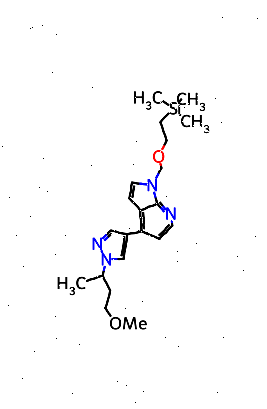 COCCC(C)n1cc(-c2ccnc3c2ccn3COCC[Si](C)(C)C)cn1